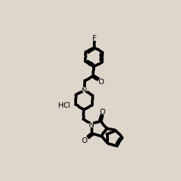 Cl.O=C(CN1CCC(CN2C(=O)C3C4C=CC(C4)C3C2=O)CC1)c1ccc(F)cc1